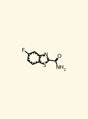 NC(=O)c1nc2cc(F)ccc2s1